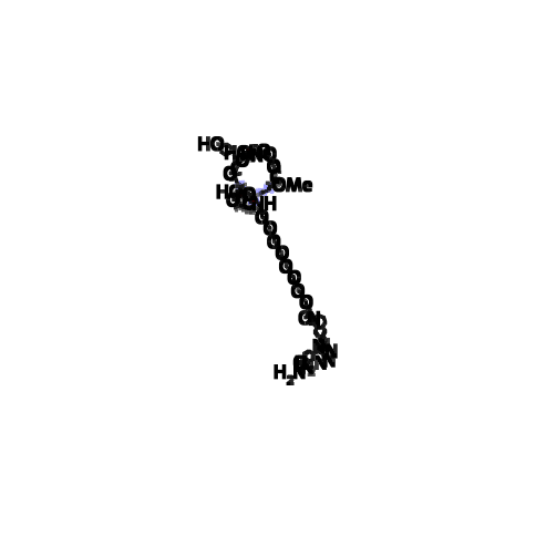 CO[C@H]1CC2CCC(O2)C(=O)C(=O)N2CCCC[C@H]2[C@H](O)OC(CC[C@H]2CC[C@H](O)CC2)CC(=O)C(C)/C=C(\C)[C@H]2OC(C(=O)NCCOCCOCCOCCOCCOCCOCCOCCOCCC(=O)N3CCCc4cc(Cn5nc(-c6ccc7oc(N)nc7c6)c6c(N)ncnc65)ccc4C3)(/C=C/C=C/1C)/C=C/[C@@H](C)C[C@@H](C)C(=O)[C@@H]2O